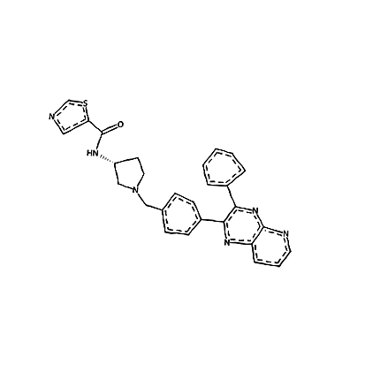 O=C(N[C@@H]1CCN(Cc2ccc(-c3nc4cccnc4nc3-c3ccccc3)cc2)C1)c1cncs1